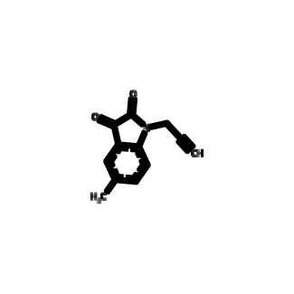 C#CCN1C(=O)C(=O)c2cc(C)ccc21